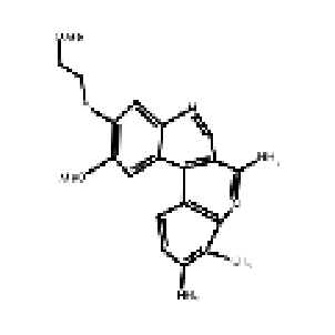 COCCOc1cc2ncc3c(N)nc4c(C)c(N)ccc4c3c2cc1OC